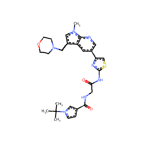 Cn1cc(CN2CCOCC2)c2cc(-c3csc(NC(=O)CNC(=O)c4ccn(C(C)(C)C)c4)n3)cnc21